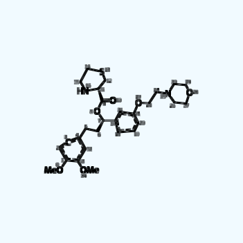 COc1ccc(CC[C@@H](OC(=O)[C@@H]2CSCCN2)c2cccc(OCCN3CCOCC3)c2)cc1OC